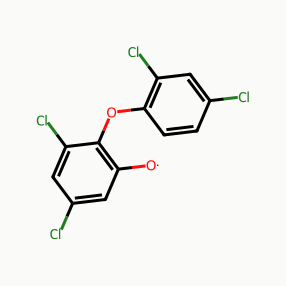 [O]c1cc(Cl)cc(Cl)c1Oc1ccc(Cl)cc1Cl